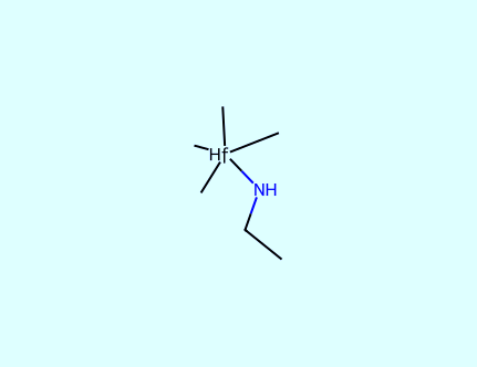 CC[NH][Hf]([CH3])([CH3])([CH3])[CH3]